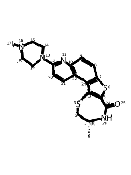 C[C@@H]1CSc2c(sc3ccc4nc(N5CCN(I)CC5)ccc4c23)C(=O)N1